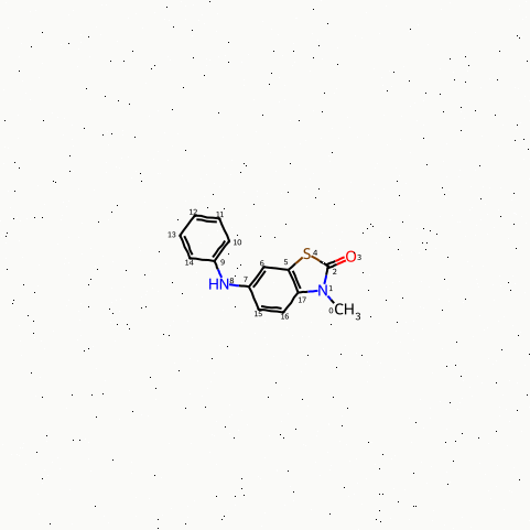 Cn1c(=O)sc2cc(Nc3ccccc3)ccc21